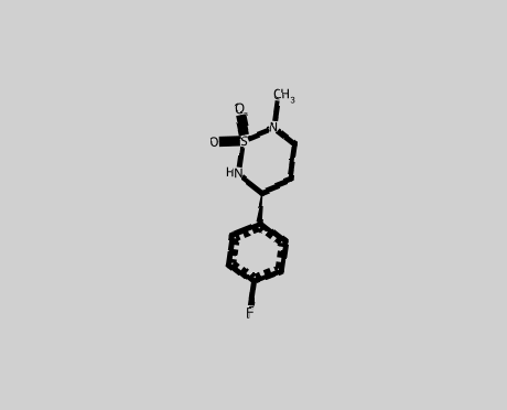 CN1CC[C@@H](c2ccc(F)cc2)NS1(=O)=O